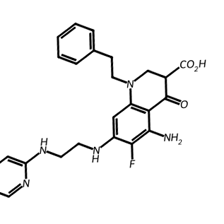 Nc1c(F)c(NCCNc2ccccn2)cc2c1C(=O)C(C(=O)O)CN2CCc1ccccc1